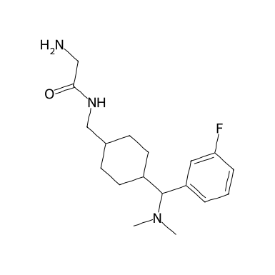 CN(C)C(c1cccc(F)c1)C1CCC(CNC(=O)CN)CC1